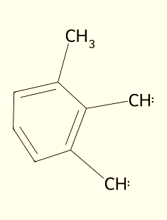 [CH]c1cccc(C)c1[CH]